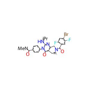 CNC(=O)c1ccc(-n2c(NC(C)C)nc3c(c2=O)C[C@@H](C)N(C(=O)c2cc(F)c(Br)cc2F)C3)cc1